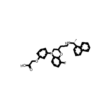 C[C@@H](NCCC1CN(c2cccc(OCC(=O)O)c2)c2cccc(F)c2O1)c1cccc2ccccc12